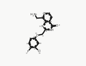 NCc1nccc2c(=O)[nH]c(COc3ccc(F)c(Cl)c3)nc12